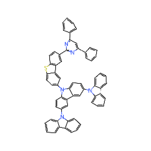 c1ccc(-c2cc(-c3ccccc3)nc(-c3ccc4sc5ccc(-n6c7ccc(-n8c9ccccc9c9ccccc98)cc7c7cc(-n8c9ccccc9c9ccccc98)ccc76)cc5c4c3)n2)cc1